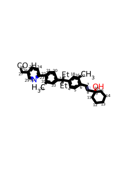 CCC(CC)(c1ccc(/C=C/C2(O)CCCCC2)c(C)c1)c1ccc(-c2ccc(CC(=O)O)cn2)c(C)c1